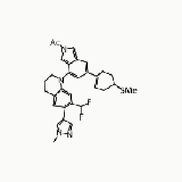 CSC1CC=C(c2cc(N3CCCc4cc(-c5cnn(C)c5)c(C(F)F)cc43)c3cn(C(C)=O)cc3c2)CC1